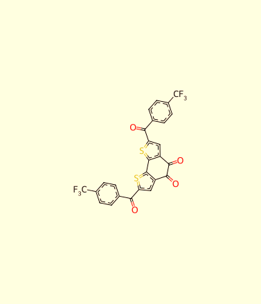 O=C(c1ccc(C(F)(F)F)cc1)c1cc2c(s1)-c1sc(C(=O)c3ccc(C(F)(F)F)cc3)cc1C(=O)C2=O